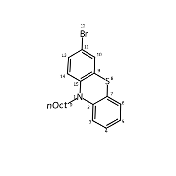 CCCCCCCCN1c2ccccc2Sc2cc(Br)ccc21